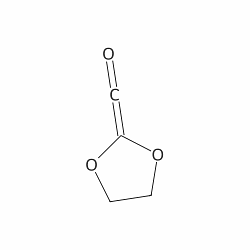 O=C=C1OCCO1